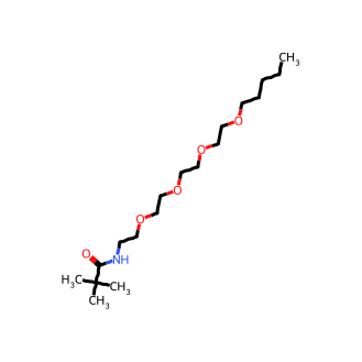 CCCCCOCCOCCOCCOCCNC(=O)C(C)(C)C